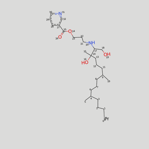 CC(C)CCCC(C)CCCC(C)CCCC(C)(O)C(CO)NCCCOC(=O)c1cccnc1